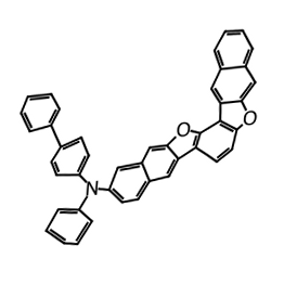 c1ccc(-c2ccc(N(c3ccccc3)c3ccc4cc5c(cc4c3)oc3c5ccc4oc5cc6ccccc6cc5c43)cc2)cc1